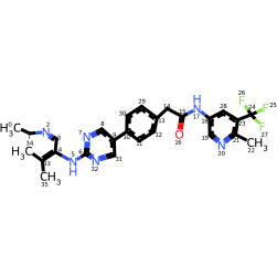 CC/N=C\C(Nc1ncc(-c2ccc(CC(=O)Nc3cnc(C)c(C(F)(F)F)c3)cc2)cn1)=C(C)C